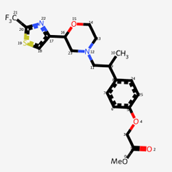 COC(=O)COc1ccc(C(C)CN2CCOC(c3csc(C(F)(F)F)n3)C2)cc1